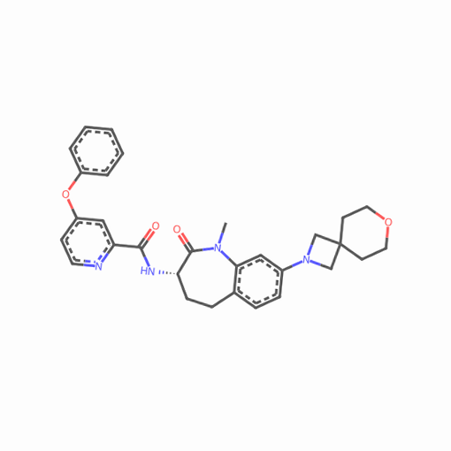 CN1C(=O)[C@@H](NC(=O)c2cc(Oc3ccccc3)ccn2)CCc2ccc(N3CC4(CCOCC4)C3)cc21